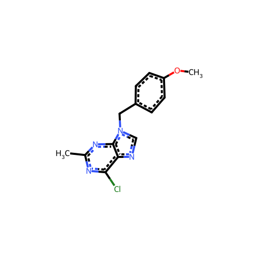 COc1ccc(Cn2cnc3c(Cl)nc(C)nc32)cc1